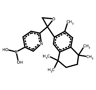 Cc1cc2c(cc1C1(c3ccc(B(O)O)cn3)CO1)C(C)(C)CCC2(C)C